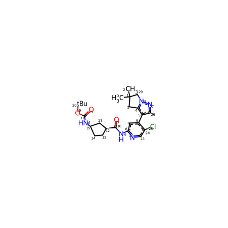 CC1(C)Cc2c(-c3cc(NC(=O)[C@H]4CC[C@@H](NC(=O)OC(C)(C)C)C4)ncc3Cl)cnn2C1